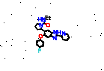 CCNC(=O)N1CCCC1c1cc2[nH]c(-c3ccccn3)nc2cc1Oc1ccc(F)cc1